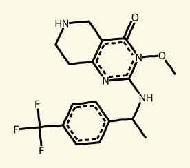 COn1c(NC(C)c2ccc(C(F)(F)F)cc2)nc2c(c1=O)CNCC2